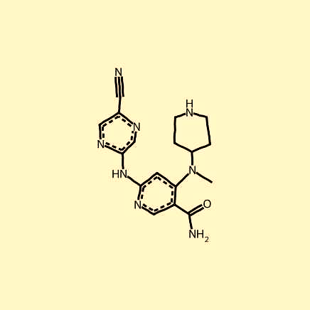 CN(c1cc(Nc2cnc(C#N)cn2)ncc1C(N)=O)C1CCNCC1